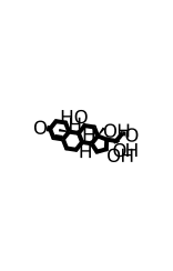 C[C@]12CCC(=O)C=C1CC[C@@H]1[C@@H]2[C@@H](O)C[C@@]2(C)[C@H]1C[C@H](O)[C@]2(O)C(=O)CO